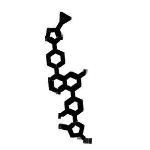 O=C1C[C@H](O)CN1c1ccc(-c2cc(F)cc3c(N4CCC(c5noc(C6CC6)n5)CC4)ncnc23)cc1F